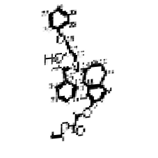 CCOC(=O)COc1ccc2c(c1)C[C@H](N(C[C@H](O)COc1ccccc1)[C@H](C)c1ccccc1)CCC2